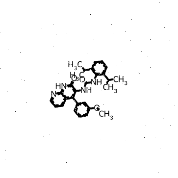 COc1cccc(-c2c(NC(=O)Nc3c(C(C)C)cccc3C(C)C)c(=O)[nH]c3ncccc23)c1